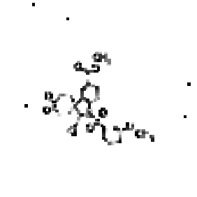 COC(=O)c1ccc2c(c1)C1(CCS(=O)(=O)CC1)C(C1CC1)N2S(=O)(=O)c1cccc(OC)c1